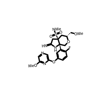 CNS(=O)(=O)[C@]12CC(=N)N[C@@]1(c1cc(Oc3cncc(OC)n3)ccc1F)CO[C@@H](COC)C2